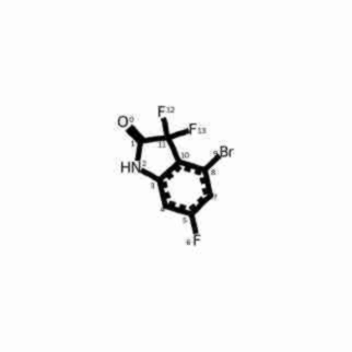 O=C1Nc2cc(F)cc(Br)c2C1(F)F